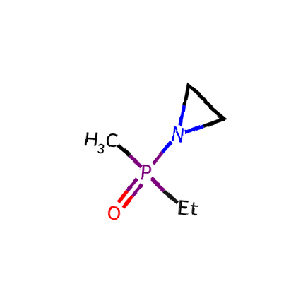 CCP(C)(=O)N1CC1